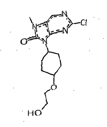 Cn1c(=O)n(C2CCC(OCCO)CC2)c2nc(Cl)ncc21